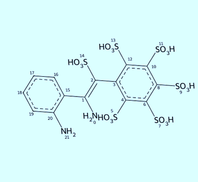 NC(=C(c1c(S(=O)(=O)O)c(S(=O)(=O)O)c(S(=O)(=O)O)c(S(=O)(=O)O)c1S(=O)(=O)O)S(=O)(=O)O)c1ccccc1N